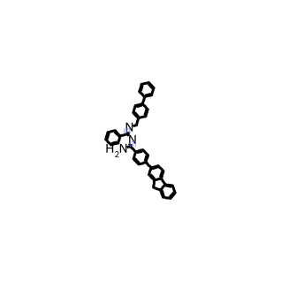 N/C(=N\C(=N/Cc1ccc(-c2ccccc2)cc1)c1ccccc1)c1ccc(-c2ccc3c(c2)Cc2ccccc2-3)cc1